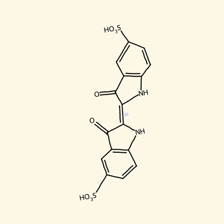 O=C1/C(=C2/Nc3ccc(S(=O)(=O)O)cc3C2=O)Nc2ccc(S(=O)(=O)O)cc21